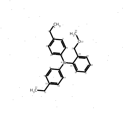 CCc1cc[c]([Bi]([c]2ccc(CC)cc2)[c]2ccccc2COC)cc1